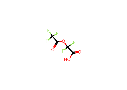 O=C(OC(F)(F)C(=O)O)C(F)(F)F